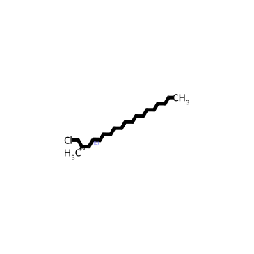 CCCCCCCCCCCCCC/C=C/C[C@@H](C)CCl